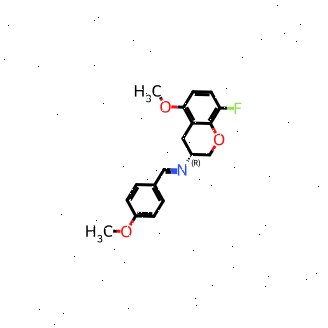 COc1ccc(C=N[C@H]2COc3c(F)ccc(OC)c3C2)cc1